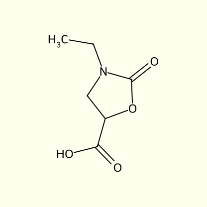 CCN1CC(C(=O)O)OC1=O